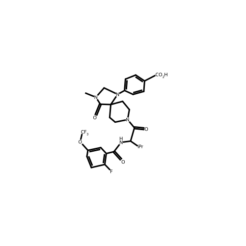 CC(C)C(NC(=O)c1cc(OC(F)(F)F)ccc1F)C(=O)N1CCC2(CC1)C(=O)N(C)CN2c1ccc(C(=O)O)cc1